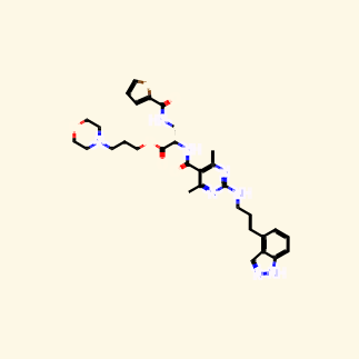 Cc1nc(NCCCc2cccc3[nH]ncc23)nc(C)c1C(=O)N[C@@H](CNC(=O)c1cccs1)C(=O)OCCCN1CCOCC1